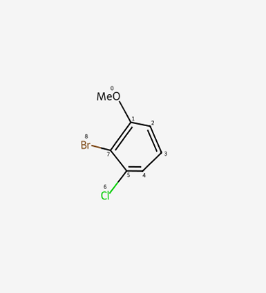 COc1cccc(Cl)c1Br